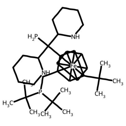 CC(C)(C)P(C[C]12[CH]3[C]4(C(C)(C)C)[CH]5[C]1(C(P)(C1CCCCN1)C1CCCCN1)[Fe]35241678[CH]2[CH]1[CH]6[CH]7[CH]28)C(C)(C)C